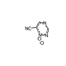 N#Cc1cncnn1.[O].[O]